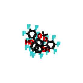 CC1(C)O[C@@H](C(O)(c2c(F)c(F)c(F)c(F)c2F)c2c(F)c(F)c(F)c(F)c2F)[C@H](C(O)(c2c(F)c(F)c(F)c(F)c2F)c2c(F)c(F)c(F)c(F)c2F)O1